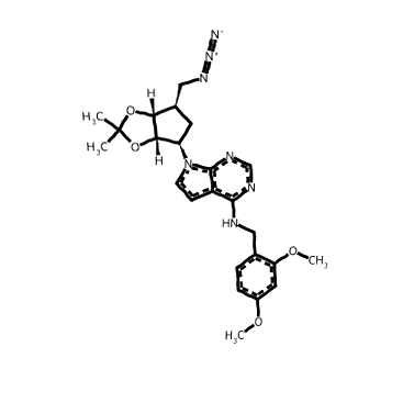 COc1ccc(CNc2ncnc3c2ccn3[C@@H]2C[C@H](CN=[N+]=[N-])[C@H]3OC(C)(C)O[C@H]32)c(OC)c1